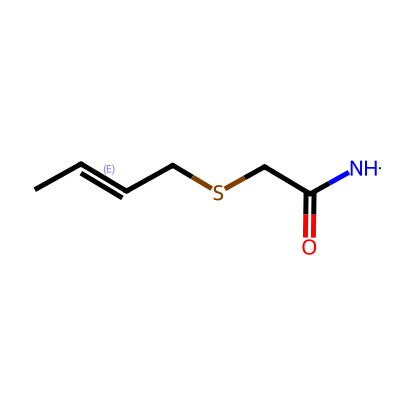 C/C=C/CSCC([NH])=O